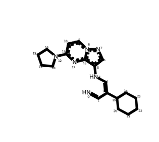 N=C/C(=C\Nc1cnn2ccc(N3CCCC3)nc12)C1CCCCC1